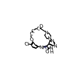 O=C1Nc2ncnc3c2/C1=C/Nc1ccc(Cl)c(c1)OCCCCCC(=O)N1CCN3CC1